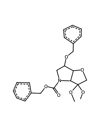 COC1(OC)COC2C(OCc3ccccc3)CN(C(=O)OCc3ccccc3)C21